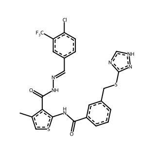 Cc1csc(NC(=O)c2cccc(CSc3nc[nH]n3)c2)c1C(=O)NN=Cc1ccc(Cl)c(C(F)(F)F)c1